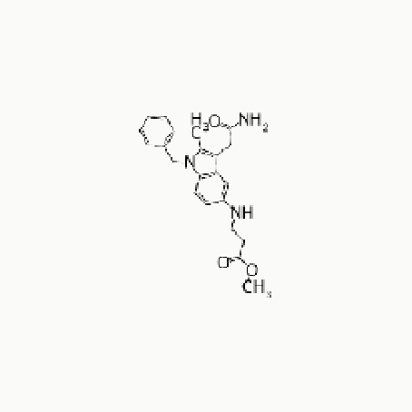 COC(=O)CCNc1ccc2c(c1)c(CC(N)=O)c(C)n2Cc1ccccc1